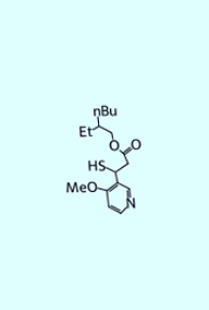 CCCCC(CC)COC(=O)CC(S)c1cnccc1OC